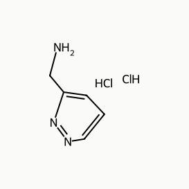 Cl.Cl.NCc1cccnn1